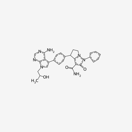 CC(O)Cn1cc(-c2ccc(C3CCn4c3c(C(N)=O)c(=O)n4-c3ccccc3)cc2)c2c(N)ncnc21